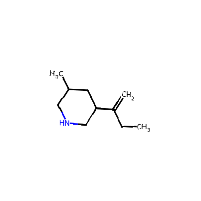 C=C(CC)C1CNCC(C)C1